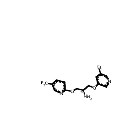 CCc1cncc(OC[C@@H](N)COc2ccc(C(F)(F)F)cn2)c1